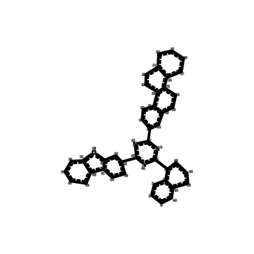 c1ccc2c(-c3nc(-c4ccc5c(ccc6c7ccccc7ccc56)c4)nc(-c4ccc5c(c4)oc4ccccc45)n3)cccc2c1